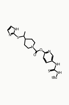 CC(Sc1ncc[nH]1)C1CCN(C(=O)Oc2ccc(NC(=S)NC(C)(C)C)cn2)CC1